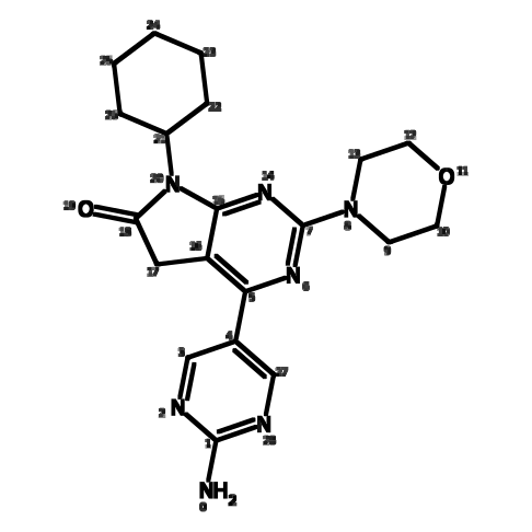 Nc1ncc(-c2nc(N3CCOCC3)nc3c2CC(=O)N3C2CCCCC2)cn1